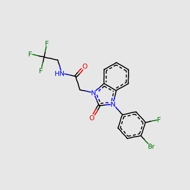 O=C(Cn1c(=O)n(-c2ccc(Br)c(F)c2)c2ccccc21)NCC(F)(F)F